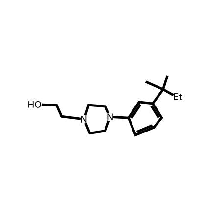 CCC(C)(C)c1cccc(N2CCN(CCO)CC2)c1